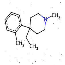 CCC1(c2ccccc2C)CCN(C)CC1